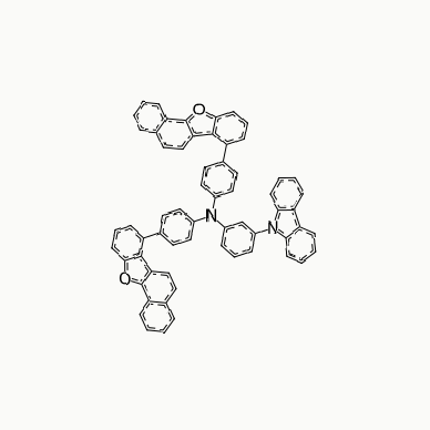 c1cc(N(c2ccc(-c3cccc4oc5c6ccccc6ccc5c34)cc2)c2ccc(-c3cccc4oc5c6ccccc6ccc5c34)cc2)cc(-n2c3ccccc3c3ccccc32)c1